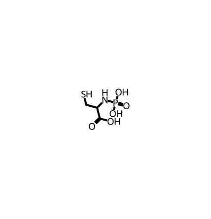 O=C(O)C(CS)NP(=O)(O)O